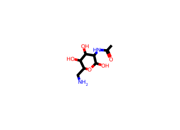 CC(=O)NC1C(O)OC(CN)C(O)C1O